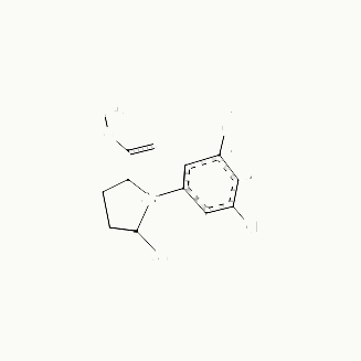 CC(C)(C)OC(=O)[C@H]1CCC(O)N1c1cc(Cl)cc(C(F)(F)F)c1